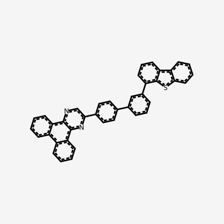 c1cc(-c2ccc(-c3cnc4c5ccccc5c5ccccc5c4n3)cc2)cc(-c2cccc3c2sc2ccccc23)c1